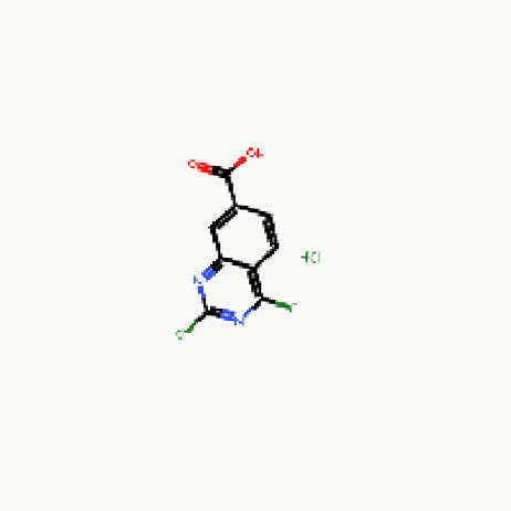 Cl.O=C(O)c1ccc2c(Cl)nc(Cl)nc2c1